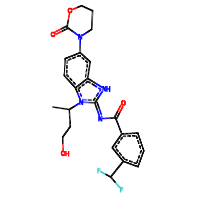 CC(CCO)n1c(=NC(=O)c2cccc(C(F)F)c2)[nH]c2cc(N3CCCOC3=O)ccc21